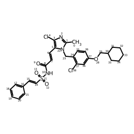 Cc1nc(Cl)c(C=CC(=O)NS(=O)(=O)C=Cc2ccccc2)n1Cc1ccc(OCC2CCCCC2)cc1Cl